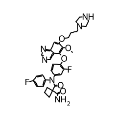 COc1c(OCCCN2CCNCC2)cc2ncncc2c1Oc1ccc(N(C(=O)C2(C(N)=O)CCC2)c2ccc(F)cc2)cc1F